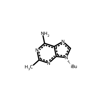 CC[C@@H](C)n1cnc2c(N)nc(C)nc21